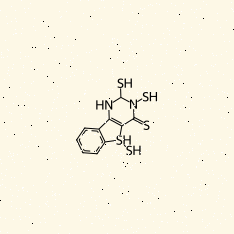 S=C1C2=C(NC(S)N1S)c1ccccc1[SH]2S